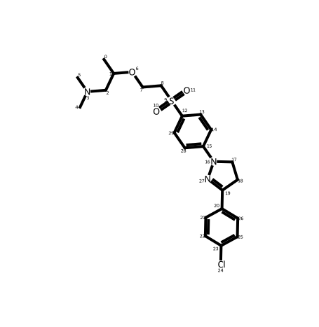 CC(CN(C)C)OCCS(=O)(=O)c1ccc(N2CCC(c3ccc(Cl)cc3)=N2)cc1